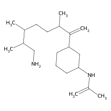 C=C(C)NC1CCCC(C(=C)C(C)CCC(C)C(C)CN)C1